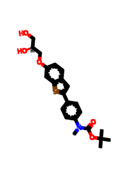 CN(C(=O)OC(C)(C)C)c1ccc(-c2cc3ccc(OC[C@H](O)CO)cc3s2)cc1